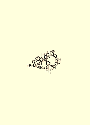 Cc1cc2ccc1[C@@H](C)COC(=O)Nc1ccc(C3(C#N)CC3)c(c1)CN(C)C(=O)[C@@H]2Nc1ccc2c(N(C(=O)OC(C)(C)C)C(=O)OC(C)(C)C)nccc2c1